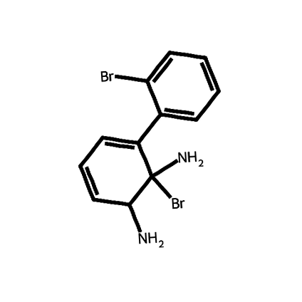 NC1C=CC=C(c2ccccc2Br)C1(N)Br